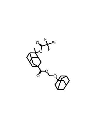 CCC(F)(F)C(=O)OC1(C)C2CC3CC1CC(C(=O)OCOC14CC5CC(CC(C5)C1)C4)(C3)C2